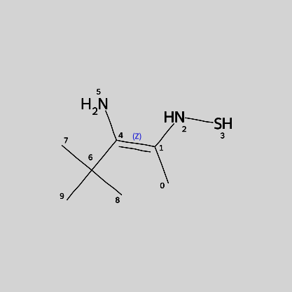 C/C(NS)=C(/N)C(C)(C)C